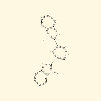 Cn1c(-c2cncc(-c3nc4ccccc4n3C)c2)nc2ccccc21